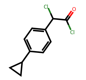 O=C(Cl)C(Cl)c1ccc(C2CC2)cc1